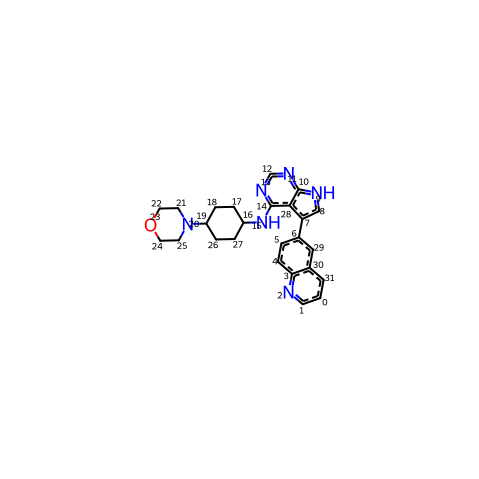 c1cnc2ccc(-c3c[nH]c4ncnc(NC5CCC(N6CCOCC6)CC5)c34)cc2c1